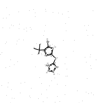 CC(C)(C)c1nc(Sc2nnn[nH]2)sc1Br